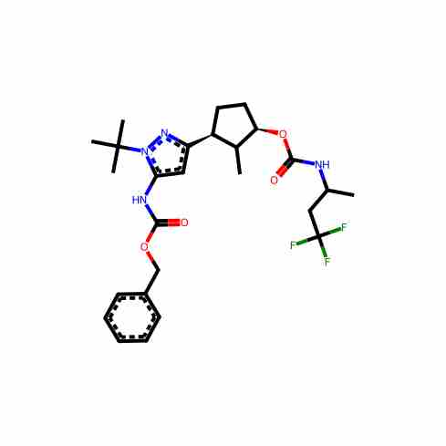 CC(CC(F)(F)F)NC(=O)O[C@@H]1CC[C@H](c2cc(NC(=O)OCc3ccccc3)n(C(C)(C)C)n2)C1C